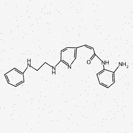 Nc1ccccc1NC(=O)/C=C\c1ccc(NCCNc2ccccc2)nc1